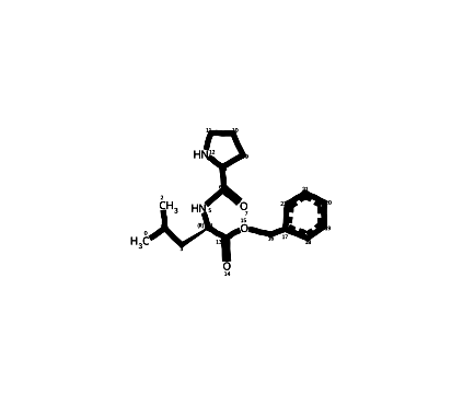 CC(C)C[C@@H](NC(=O)C1CCCN1)C(=O)OCc1ccccc1